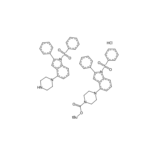 CC(C)(C)OC(=O)N1CCN(c2cccc3c2cc(-c2ccccc2)n3S(=O)(=O)c2ccccc2)CC1.Cl.O=S(=O)(c1ccccc1)n1c(-c2ccccc2)cc2c(N3CCNCC3)cccc21